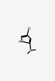 CN(C)c1cc(Cl)c[nH]1